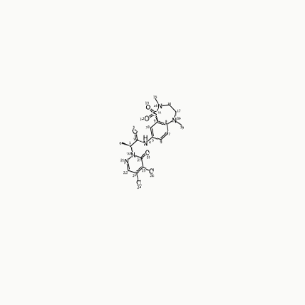 C[C@@H](C(=O)Nc1ccc2c(c1)S(=O)(=O)N(C)CCN2C)n1ncc(Cl)c(Cl)c1=O